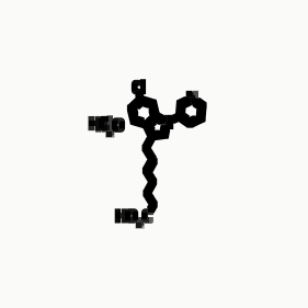 Cl.O.O=C(O)CCCC=CCc1cn(-c2cccnc2)c2cc(Cl)ccc12